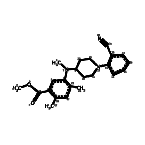 COC(=O)c1cc(N(C)C2CCN(c3ccccc3C#N)CC2)c(C)cc1C